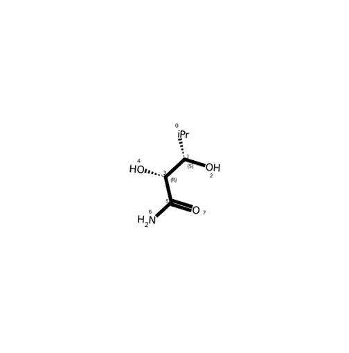 CC(C)[C@H](O)[C@@H](O)C(N)=O